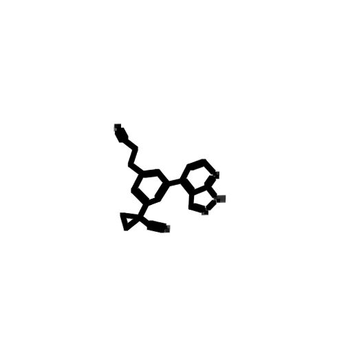 N#CCCc1cc(-c2ccnc3[nH]ncc23)cc(C2(C#N)CC2)c1